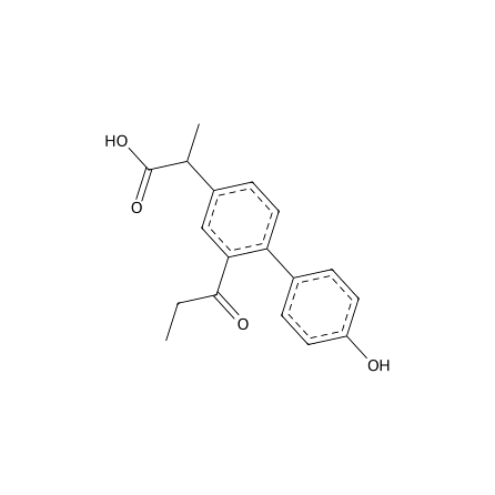 CCC(=O)c1cc(C(C)C(=O)O)ccc1-c1ccc(O)cc1